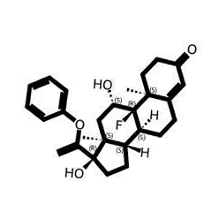 C=C(Oc1ccccc1)[C@@]1(O)CC[C@H]2[C@@H]3CCC4=CC(=O)CC[C@]4(C)[C@@]3(F)[C@@H](O)C[C@@]21C